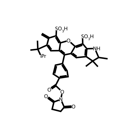 C=c1c(C(C)(C)C(C)C)cc2c(c1S(=O)(=O)O)Oc1c(cc3c(c1S(=O)(=O)O)NC(C)C3(C)C)C=2c1ccc(C(=O)ON2C(=O)CCC2=O)cc1